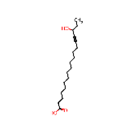 CC[C@H](O)C#CCCCCCCCCCCCCC(=O)O